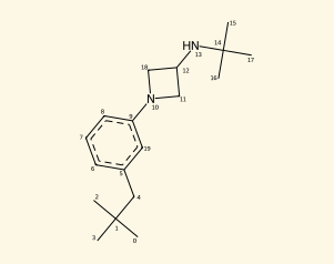 CC(C)(C)Cc1cccc(N2CC(NC(C)(C)C)C2)c1